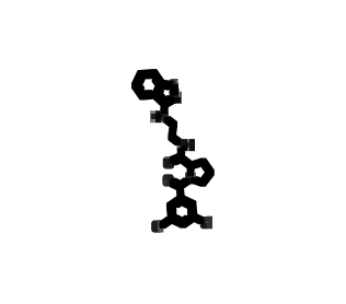 O=C(NCCNc1nsc2ccccc12)C1CCCN1C(=O)c1cc(Cl)cc(Cl)c1